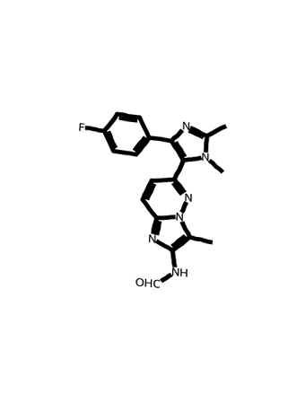 Cc1nc(-c2ccc(F)cc2)c(-c2ccc3nc(NC=O)c(C)n3n2)n1C